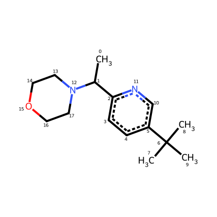 CC(c1ccc(C(C)(C)C)cn1)N1CCOCC1